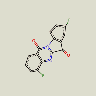 O=C1c2cc(F)ccc2-n2c1nc1c(F)cccc1c2=O